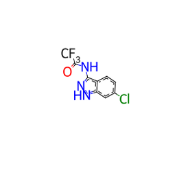 O=C(Nc1n[nH]c2cc(Cl)ccc12)C(F)(F)F